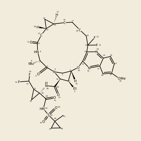 CC[C@@H]1[C@@H]2CN(C(=O)[C@H](C(C)(C)C)NC(=O)C[C@@H]3C[C@H]3CCCCC(F)(F)c3nc4ccc(OC)cc4nc3O2)[C@@H]1C(=O)N[C@]1(C(=O)NS(=O)(=O)C2(C)CC2)CC1C(F)F